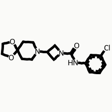 O=C(Nc1cccc(Cl)c1)N1CC(N2CCC3(CC2)OCCO3)C1